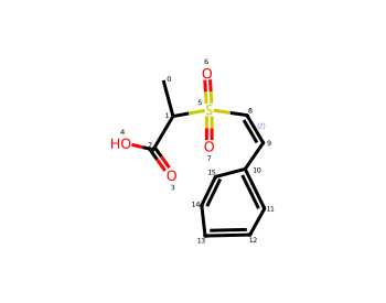 CC(C(=O)O)S(=O)(=O)/C=C\c1ccccc1